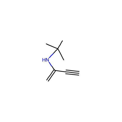 C#CC(=C)NC(C)(C)C